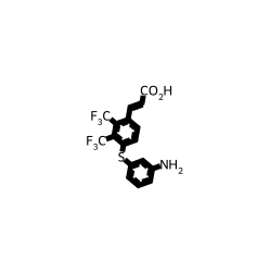 Nc1cccc(Sc2ccc(C=CC(=O)O)c(C(F)(F)F)c2C(F)(F)F)c1